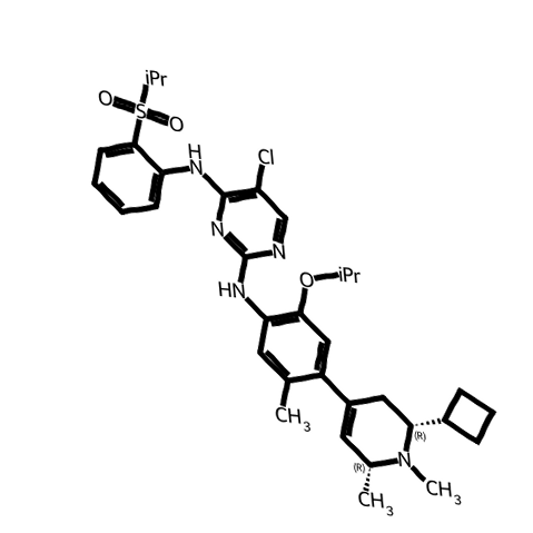 Cc1cc(Nc2ncc(Cl)c(Nc3ccccc3S(=O)(=O)C(C)C)n2)c(OC(C)C)cc1C1=C[C@@H](C)N(C)[C@@H](C2CCC2)C1